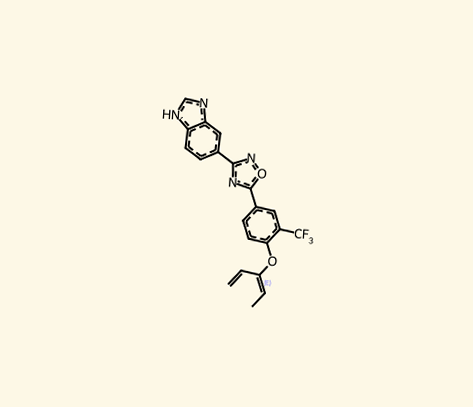 C=C/C(=C\C)Oc1ccc(-c2nc(-c3ccc4[nH]cnc4c3)no2)cc1C(F)(F)F